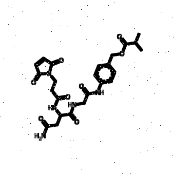 CC(C)C(=O)OCc1ccc(NC(=O)CNC(=O)C(CC(N)=O)NC(=O)CCN2C(=O)C=CC2=O)cc1